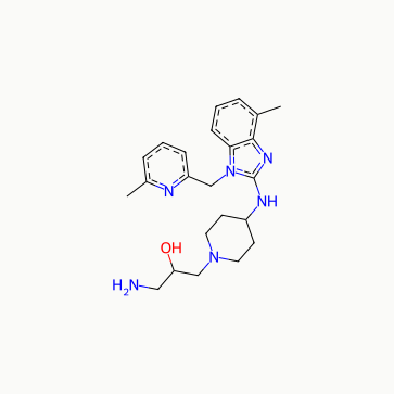 Cc1cccc(Cn2c(NC3CCN(CC(O)CN)CC3)nc3c(C)cccc32)n1